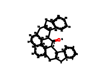 O=C1C2C3=C(Cc4ccccc43)Cc3ccc4ccc5c(c4c32)C1C1=C(Cc2ccccc21)C5